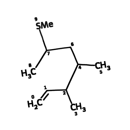 C=CC(C)C(C)CC(C)SC